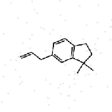 [CH]=CCc1ccc2c(c1)C(C)(C)CC2